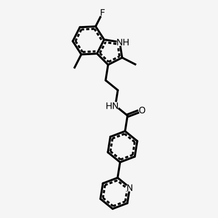 Cc1[nH]c2c(F)ccc(C)c2c1CCNC(=O)c1ccc(-c2ccccn2)cc1